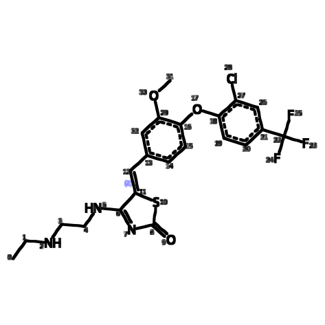 CCNCCNC1=NC(=O)S/C1=C\c1ccc(Oc2ccc(C(F)(F)F)cc2Cl)c(OC)c1